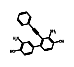 Nc1cc(-c2ccc(O)c(N)c2C#Cc2ccccc2)ccc1O